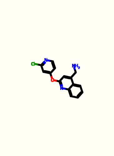 NCc1cc(Oc2ccnc(Cl)c2)nc2ccccc12